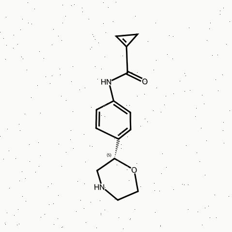 O=C(Nc1ccc([C@H]2CNCCO2)cc1)C1=CC1